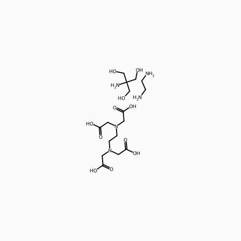 NC(CO)(CO)CO.NCCN.O=C(O)CN(CCN(CC(=O)O)CC(=O)O)CC(=O)O